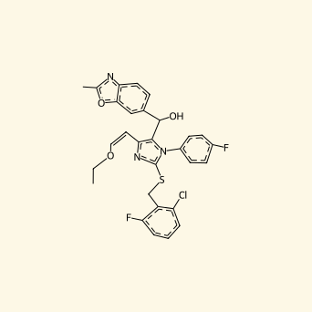 CCO/C=C\c1nc(SCc2c(F)cccc2Cl)n(-c2ccc(F)cc2)c1C(O)c1ccc2nc(C)oc2c1